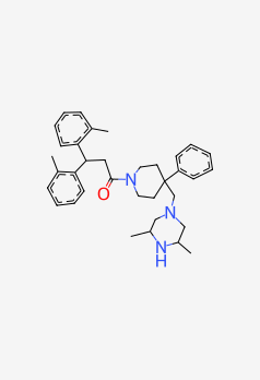 Cc1ccccc1C(CC(=O)N1CCC(CN2CC(C)NC(C)C2)(c2ccccc2)CC1)c1ccccc1C